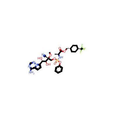 CO[C@](C#N)(COP(=O)(N[C@@H](C)C(=O)OC[C@H]1CC[C@H](C(F)(F)F)CC1)Oc1ccccc1)[C@@H](O)[C@@H](O)c1ccc2c(N)ncnn12